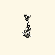 Cn1nccc1C(=O)N[C@@H](CCOC1CC(CCc2ccc3c(n2)NCCC3)C1)C(=O)O